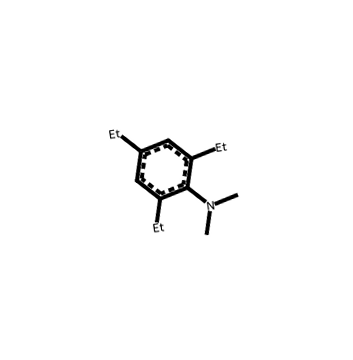 CCc1cc(CC)c(N(C)C)c(CC)c1